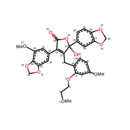 COCCOc1cc(OC)ccc1CC1=C(c2cc(OC)c3c(c2)OCO3)C(=O)OC1(O)c1ccc2c(c1)OCO2